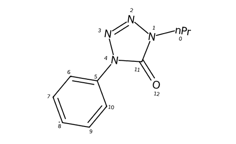 CCCn1nnn(-c2cc[c]cc2)c1=O